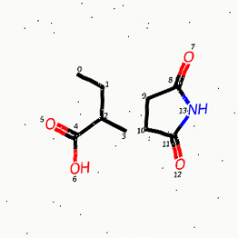 CCC(C)C(=O)O.O=C1CCC(=O)N1